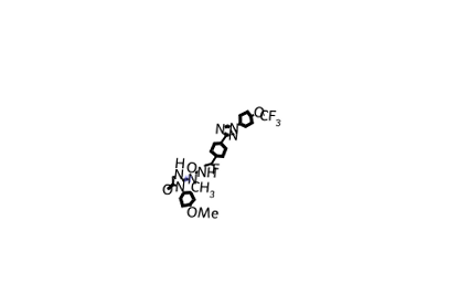 COc1ccc(N2C(=O)CN/C2=N\C(=O)NCC(F)c2ccc(-c3ncn(-c4ccc(OC(F)(F)F)cc4)n3)cc2)c(C)c1